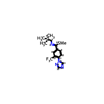 CSC(=NC[Si](C)(C)C)c1ccc(-n2cncn2)c(C(F)(F)F)c1